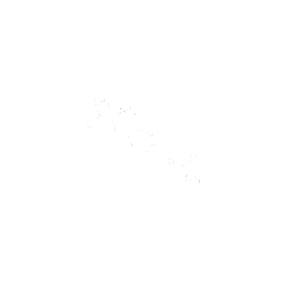 CC(=O)OCc1ccc(CC(N)C(C)=O)cc1